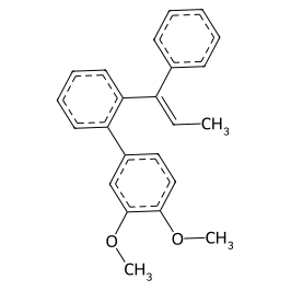 CC=C(c1ccccc1)c1ccccc1-c1ccc(OC)c(OC)c1